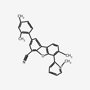 Cc1ccc(-c2cc(C#N)c3oc4c(-c5cccc[n+]5C)c(C)ccc4c3c2)c(C)c1